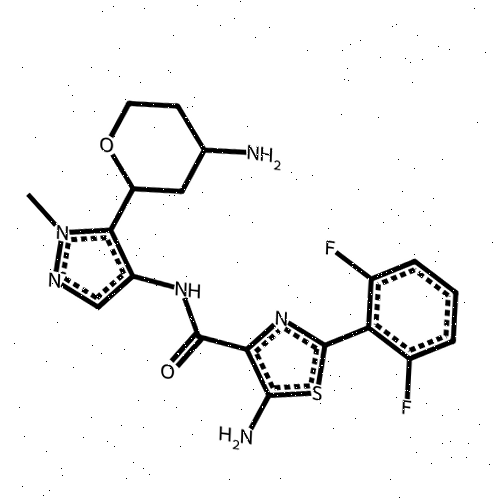 Cn1ncc(NC(=O)c2nc(-c3c(F)cccc3F)sc2N)c1C1CC(N)CCO1